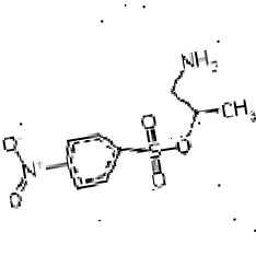 C[C@H](CN)OS(=O)(=O)c1ccc([N+](=O)[O-])cc1